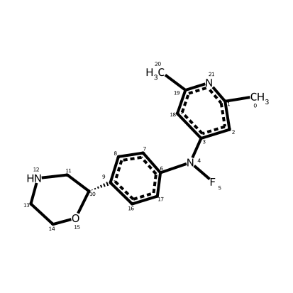 Cc1cc(N(F)c2ccc([C@H]3CNCCO3)cc2)cc(C)n1